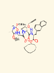 C#CCO[C@H]1CCN(C(=O)[C@@H](NC(=O)[C@H](C)N(C)C(=O)OC(C)(C)C)C(C)(C)C)[C@@H]1C(=O)N[C@@H](Cc1ccc2ccccc2c1)C(=O)OC1CCCCCCCC1